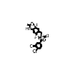 COc1cc(NC(C)=O)c(Cl)cc1Cn1nc(-c2ccc(Cl)c(Cl)c2)oc1=O